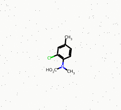 Cc1ccc(N(C)C(=O)O)c(Cl)c1